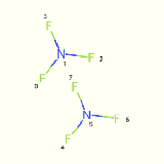 FN(F)F.FN(F)F